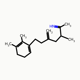 C=C(CCC1=CCCC(C)=C1C)CC(C)C(C)=N